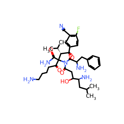 CC(C)C[C@H](N)C(O)CC(=O)N(C(=O)C(N)Cc1ccccc1)C(C(N)=O)(C(=O)CCCCN)[C@@H](C(=O)c1ccc(F)c(C#N)c1)C(C)C